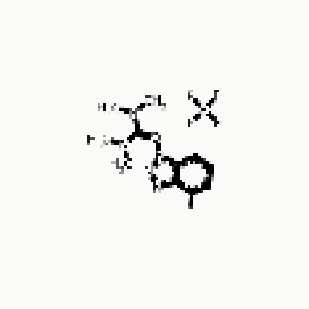 CN(C)C(=[O+]n1nnc2c(I)cccc21)N(C)C.F[B-](F)(F)F